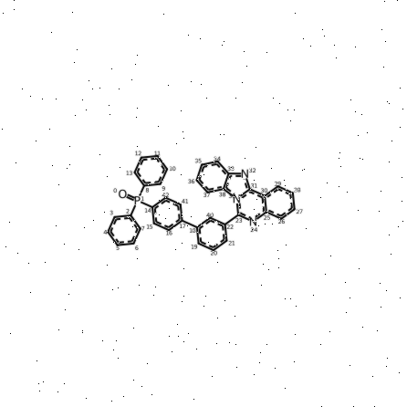 O=P(c1ccccc1)(c1ccccc1)c1ccc(-c2cccc(-c3nc4ccccc4c4nc5ccccc5n34)c2)cc1